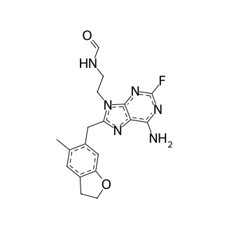 Cc1cc2c(cc1Cc1nc3c(N)nc(F)nc3n1CCNC=O)OCC2